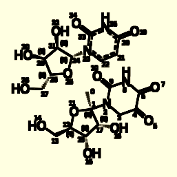 C[C@@]1(N2CC(=O)C(=O)NC2=O)O[C@H](CO)[C@@H](O)[C@H]1O.O=c1ccn([C@@H]2O[C@H](CO)[C@@H](O)[C@H]2O)c(=O)[nH]1